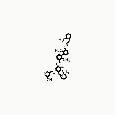 Cc1c(COc2cc(OCc3cncc(C#N)c3)c(CN3CCCC[C@H]3C)cc2Cl)cccc1-c1cccc(OCCCN2CCCCC2C)c1C